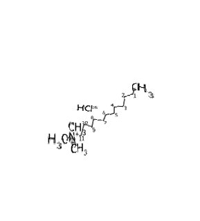 CCCCCCCCCCCC[N+](C)(C)C.Cl